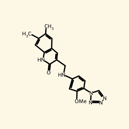 COc1cc(NCc2cc3cc(C)c(C)cc3[nH]c2=O)ccc1-n1cnnn1